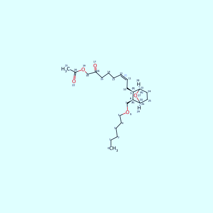 CCCCCCOC[C@H]1[C@@H](C/C=C\CCCC(=O)COC(C)=O)[C@H]2CC[C@@H]1O2